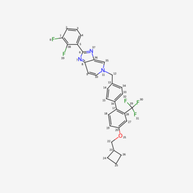 Fc1cccc(-c2nc3ccn(Cc4ccc(-c5ccc(OCC6CCC6)cc5C(F)(F)F)cc4)cc-3n2)c1F